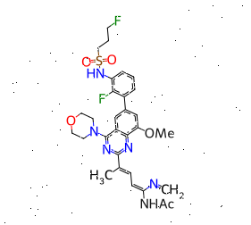 C=N/C(=C\C=C(/C)c1nc(N2CCOCC2)c2cc(-c3cccc(NS(=O)(=O)CCCF)c3F)cc(OC)c2n1)NC(C)=O